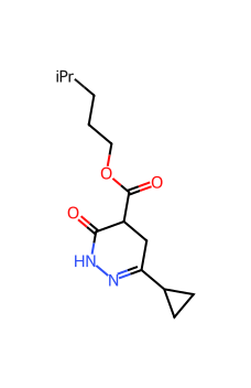 CC(C)CCCOC(=O)C1CC(C2CC2)=NNC1=O